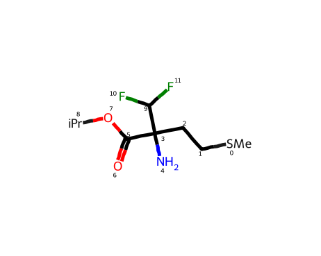 CSCCC(N)(C(=O)OC(C)C)C(F)F